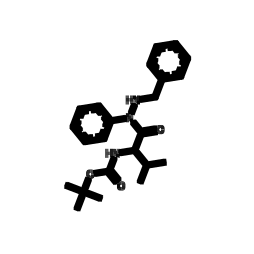 CC(C)C(NC(=O)OC(C)(C)C)C(=O)N(NCc1ccccc1)c1ccccc1